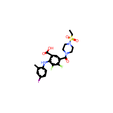 CCS(=O)(=O)N1CCN(C(=O)c2cc(C(=O)O)c(Nc3ccc(I)cc3C)c(F)c2F)CC1